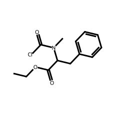 CCOC(=O)C(Cc1ccccc1)N(C)C(=O)Cl